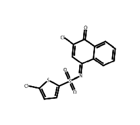 O=C1C(Cl)=CC(=NS(=O)(=O)c2ccc(Cl)s2)c2ccccc21